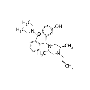 C=CCN1C[C@H](C)N([C@H](c2cccc(O)c2)c2ccccc2C(=O)N(CC)CC)C[C@H]1C